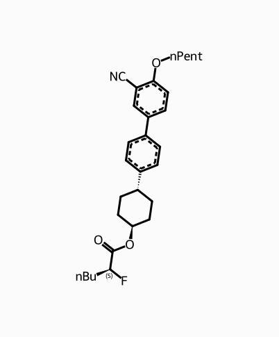 CCCCCOc1ccc(-c2ccc([C@H]3CC[C@H](OC(=O)[C@@H](F)CCCC)CC3)cc2)cc1C#N